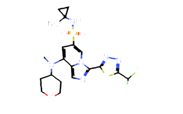 CN(c1cc(S(=O)(=O)NC2(C#N)CC2)cn2c(-c3nnc(C(F)F)s3)ncc12)C1CCOCC1